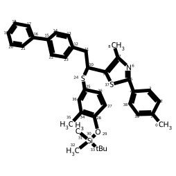 Cc1ccc(-c2nc(C)c(C(Cc3ccc(-c4ccccc4)cc3)Sc3ccc(O[Si](C)(C)C(C)(C)C)c(C)c3)s2)cc1